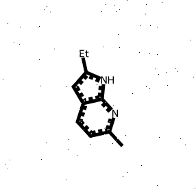 CCc1cc2ccc(C)nc2[nH]1